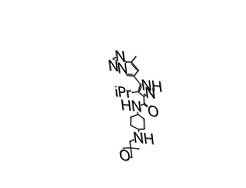 Cc1cc(-c2[nH]nc(C(=O)NC3CCC(NCC4(C)COC4)CC3)c2C(C)C)cn2ncnc12